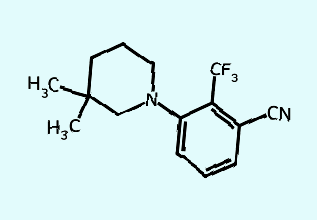 CC1(C)CCCN(c2cccc(C#N)c2C(F)(F)F)C1